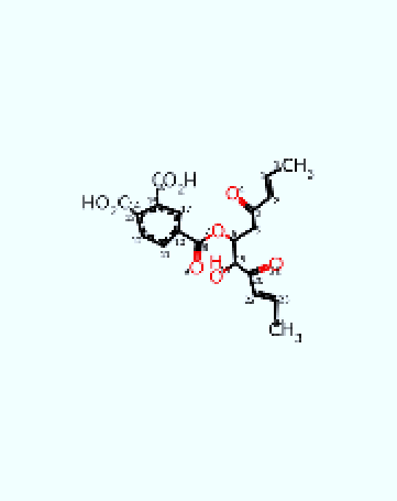 CC=CC(=O)CC(OC(=O)c1ccc(C(=O)O)c(C(=O)O)c1)C(O)C(=O)C=CC